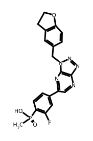 CP(=O)(O)c1ccc(-c2cnc3nnn(Cc4ccc5c(c4)CCO5)c3n2)cc1F